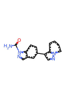 NC(=O)n1ncc2cc(-c3cnn4ccccc34)ccc21